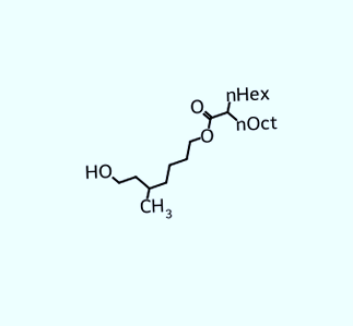 CCCCCCCCC(CCCCCC)C(=O)OCCCCC(C)CCO